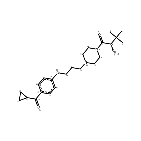 CC(C)(C)[C@@H](N)C(=O)N1CCN(CCCOc2ccc(C(=O)C3CC3)cc2)CC1